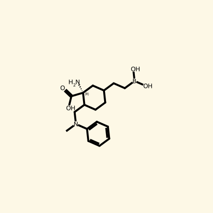 CN(CC1CCC(CCB(O)O)C[C@]1(N)C(=O)O)c1ccccc1